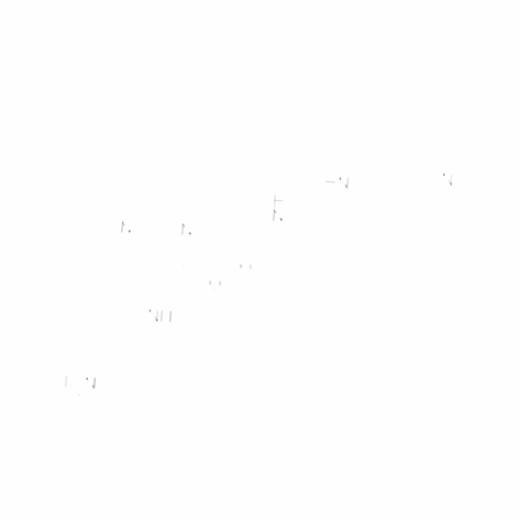 NCCNc1cnc(-c2ccccc2)n(CC(=O)NCc2cc3cnccc3[nH]2)c1=O